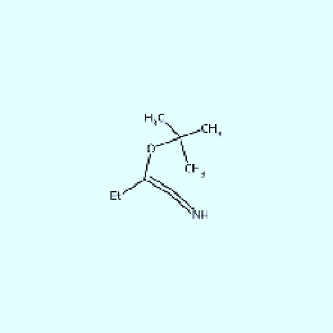 CCC(=C=N)OC(C)(C)C